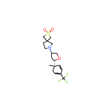 CC1([C@@H]2C[C@@H](N3CCC4(C3)CS(=O)(=O)C4)CO2)C=CC(C(F)(F)F)=CC1